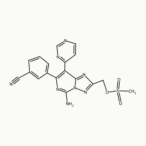 CS(=O)(=O)OCc1nc2c(-c3ccncn3)c(-c3cccc(C#N)c3)nc(N)n2n1